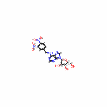 O=[N+]([O-])c1ccc(CNc2ncnc3c2ncn3C2O[C@H](CO)[C@@H](O)[C@H]2O)cc1[N+](=O)[O-]